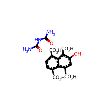 NC(=O)NC(N)=O.O=C(O)c1ccc(C(=O)O)c2c(C(=O)O)c(O)cc(C(=O)O)c12